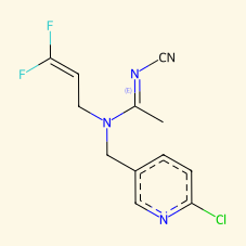 C/C(=N\C#N)N(CC=C(F)F)Cc1ccc(Cl)nc1